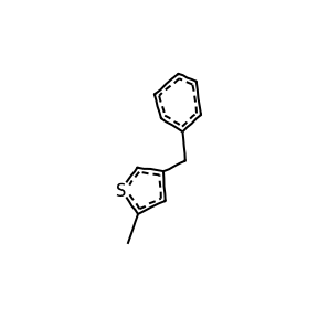 Cc1cc(Cc2ccccc2)cs1